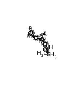 CC(C)OC(=O)NC1CCC(c2nc(-c3ccc(Nc4ccc(F)cn4)cc3)c(SC3CC3)s2)CC1